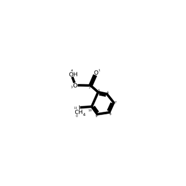 C.O=C(OO)c1ccccc1I